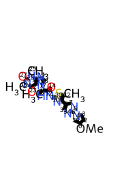 COC1CCN(c2ncc(-c3nc(NC(=O)C(C)n4cnc5c4c(=O)n(C)c(=O)n5C)sc3C)cn2)C1